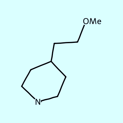 COCCC1CC[N]CC1